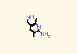 Cc1cc(CN)c(C)nc1N